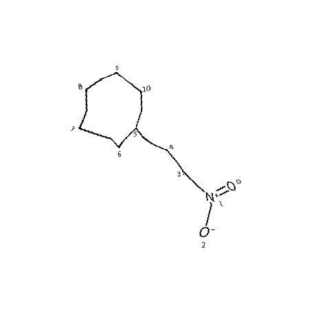 O=[N+]([O-])[CH]CC1CCCCC1